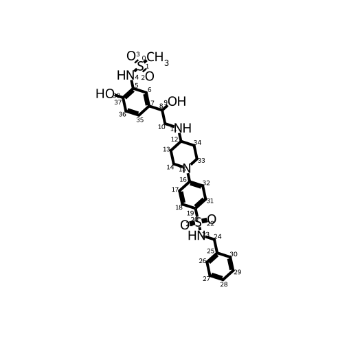 CS(=O)(=O)Nc1cc(C(O)CNC2CCN(c3ccc(S(=O)(=O)NCc4ccccc4)cc3)CC2)ccc1O